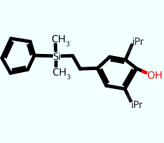 CC(C)c1cc(CC[Si](C)(C)c2ccccc2)cc(C(C)C)c1O